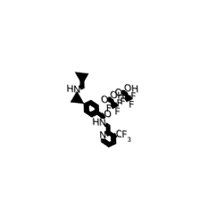 O=C(NCc1ncccc1C(F)(F)F)c1ccc([C@@H]2C[C@H]2NCC2CC2)cc1.O=C(O)C(F)(F)F.O=C(O)C(F)(F)F